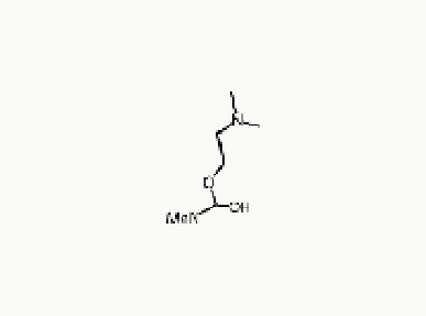 CNC(O)OCCN(C)C